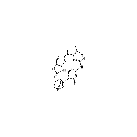 Cc1cnc(Nc2cnc(N3CCN4CCC3CC4)c(F)c2)nc1Nc1ccc2oc(=O)[nH]c2c1